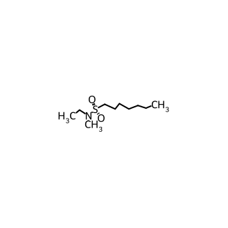 CCCCCCCS(=O)(=O)N(C)CC